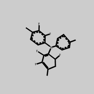 CC1=C(F)C(F)=C(N(c2ccc(C)cc2)c2ccc(C)c(F)c2F)C(F)C1